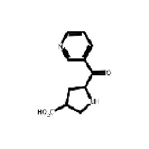 O=C(O)C1CNC(C(=O)c2cccnc2)C1